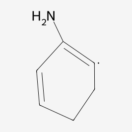 NC1=[C]CCC=C1